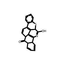 O=C1C2C=CC3=C4C2=C(N=C(O)C4Sc2ccccc23)C2C=CC=CC12